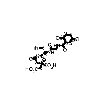 CC(C)C[C@H](NC(=O)CNC(=O)c1cc(Cl)ccc1Cl)B1OC(=O)CC(CC(=O)O)(C(=O)O)O1